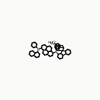 Cc1cccc(N(c2cccc3c2C2(c4ccccc4-3)C3CC4CC2CC(C3)C4C)c2ccc3ccc4c(N(c5ccccc5)c5cccc6ccccc56)ccc5ccc2c3c54)c1